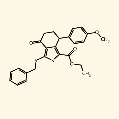 CCOC(=O)c1sc(SCc2ccccc2)c2c1C(c1ccc(OC)cc1)CCC2=O